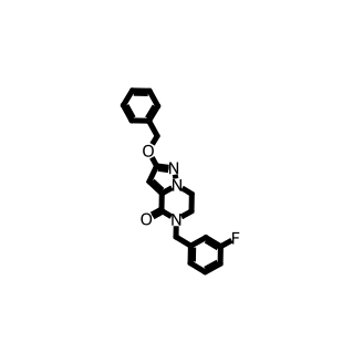 O=C1c2cc(OCc3ccccc3)nn2CCN1Cc1cccc(F)c1